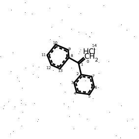 C=C(c1ccccc1)c1ccccc1.Cl